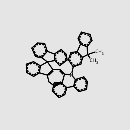 CC1(C)c2ccccc2-c2ccc(N(C3=CC4=C(CC=C3)c3ccccc3C43c4ccccc4-c4ccccc43)c3ccccc3-c3ccccc3)cc21